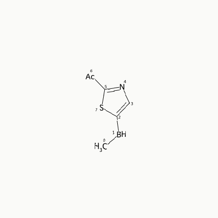 CBc1cnc(C(C)=O)s1